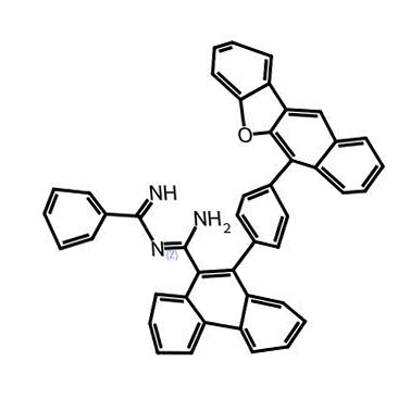 N=C(/N=C(\N)c1c(-c2ccc(-c3c4ccccc4cc4c3oc3ccccc34)cc2)c2ccccc2c2ccccc12)c1ccccc1